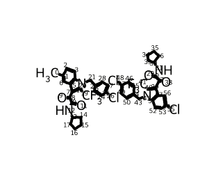 Cc1ccc2c(c1)c(C(=O)C(=O)NC1CCCC1)c(C(F)(F)F)n2Cc1ccc(Cl)cc1.O=C(NC1CCCC1)C(=O)c1c(C(F)(F)F)n(Cc2ccc(Cl)cc2)c2ccc(Cl)cc12